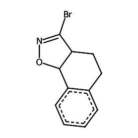 BrC1=NOC2c3ccccc3CCC12